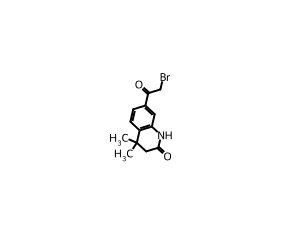 CC1(C)CC(=O)Nc2cc(C(=O)CBr)ccc21